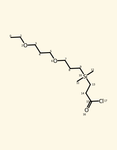 CCOCCCOCCC[Si](C)(C)CCC(=O)Cl